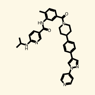 Cc1ccc(C(=O)N2CCC(c3ccc(-c4cnn(-c5ccncc5)c4)cc3)CC2)cc1NC(=O)c1ccc(NC(C)C)nc1